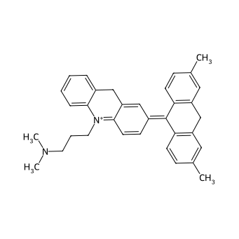 Cc1ccc2c(c1)Cc1cc(C)ccc1C2=c1ccc2c(c1)Cc1ccccc1[N+]=2CCCN(C)C